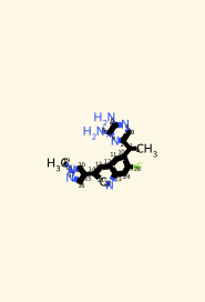 CC(c1cnc(N)c(N)n1)c1cc2cc(-c3cnn(C)c3)cnc2cc1F